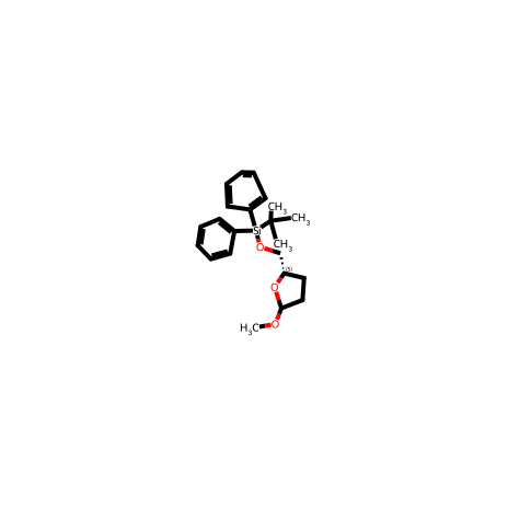 COC1CC[C@@H](CO[Si](c2ccccc2)(c2ccccc2)C(C)(C)C)O1